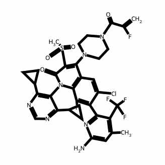 C=C(F)C(=O)N1CCN(c2c(S(C)(=O)=O)c(=O)n(-c3c(C4CC4)ncnc3C3CC3)c3c(F)c(-c4nc(N)cc(C)c4C(F)(F)F)c(Cl)cc23)CC1